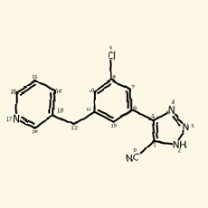 N#Cc1[nH]nnc1-c1cc(Cl)cc(Cc2cccnc2)c1